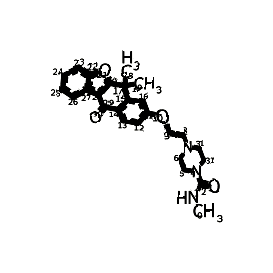 CNC(=O)N1CCN(CCOc2ccc3c(c2)C(C)(C)c2oc4ccccc4c2C3=O)CC1